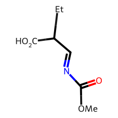 CCC(C=NC(=O)OC)C(=O)O